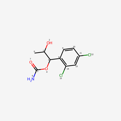 CC(O)C(OC(N)=O)c1ccc(Cl)cc1Cl